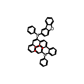 c1ccc(N(c2ccccc2)c2ccccc2-c2ccc3c(N(c4ccccc4)c4ccc5oc6ccccc6c5c4)cc4ccccc4c3c2)cc1